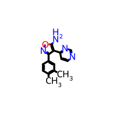 Cc1ccc(-c2noc(N)c2-c2ccncn2)cc1C